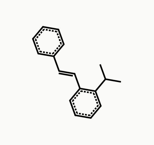 CC(C)c1ccccc1C=Cc1ccccc1